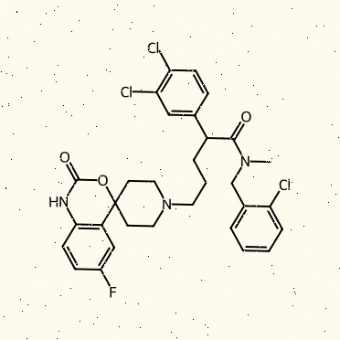 CN(Cc1ccccc1Cl)C(=O)C(CCCN1CCC2(CC1)OC(=O)Nc1ccc(F)cc12)c1ccc(Cl)c(Cl)c1